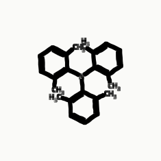 Cc1cccc(C)c1N(c1c(C)cccc1C)c1c(C)cccc1C